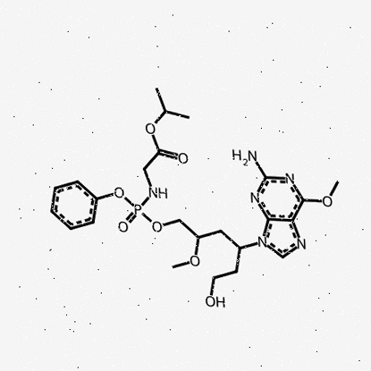 COc1nc(N)nc2c1ncn2C(CCO)CC(COP(=O)(NCC(=O)OC(C)C)Oc1ccccc1)OC